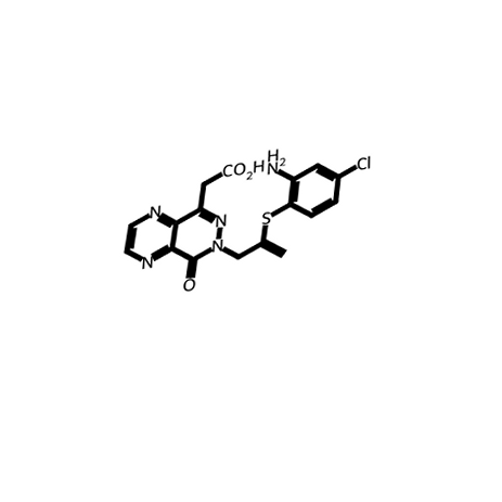 C=C(Cn1nc(CC(=O)O)c2nccnc2c1=O)Sc1ccc(Cl)cc1N